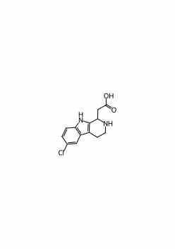 O=C(O)CC1NCCc2c1[nH]c1ccc(Cl)cc21